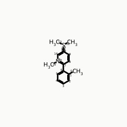 Cc1ccccc1-c1ccc([SH](C)C)c[n+]1C